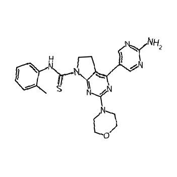 Cc1ccccc1NC(=S)N1CCc2c(-c3cnc(N)nc3)nc(N3CCOCC3)nc21